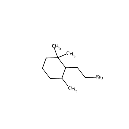 CCC(C)CCC1C(C)CCCC1(C)C